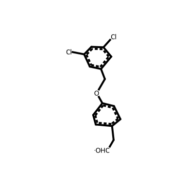 O=[C]Cc1ccc(OCc2cc(Cl)cc(Cl)c2)cc1